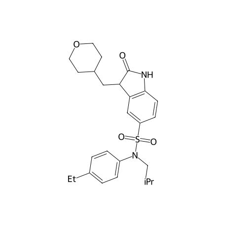 CCc1ccc(N(CC(C)C)S(=O)(=O)c2ccc3c(c2)C(CC2CCOCC2)C(=O)N3)cc1